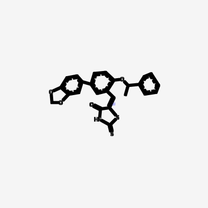 CC(Oc1ccc(-c2ccc3c(c2)OCO3)cc1/C=C1/SC(=S)NC1=O)c1ccccc1